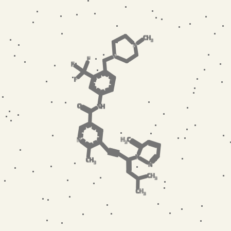 C=C1C=CC=NN1/C(C#Cc1cc(C(=O)Nc2ccc(CN3CCN(C)CC3)c(C(F)(F)F)c2)cnc1C)=C\C(C)C